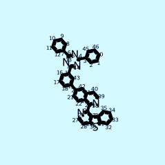 c1ccc(-c2nc(-c3ccccc3)nc(-c3cccc(-c4ccc5c(-c6nccc7sc8ccccc8c67)nccc5c4)c3)n2)cc1